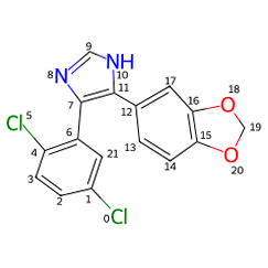 Clc1ccc(Cl)c(-c2nc[nH]c2-c2ccc3c(c2)OCO3)c1